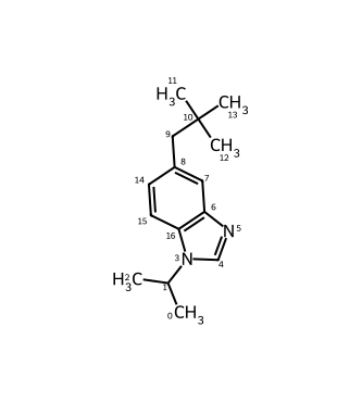 CC(C)n1cnc2cc(CC(C)(C)C)ccc21